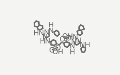 O=S(=O)(O)c1cc(Nc2cc(Nc3ccccc3)nc(Nc3ccc4ccccc4c3)n2)ccc1C=Cc1ccc(Nc2cc(Nc3ccccc3)nc(Nc3ccc4ccccc4c3)n2)cc1S(=O)(=O)O